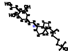 C[C@@H](CCCC(C)(C)O)C1CCC2/C(=C/C=C3C[C@@H](O)C(=CCO)[C@H](O)C3)CCCC21C